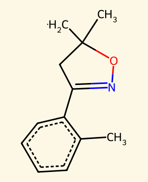 [CH2]C1(C)CC(c2ccccc2C)=NO1